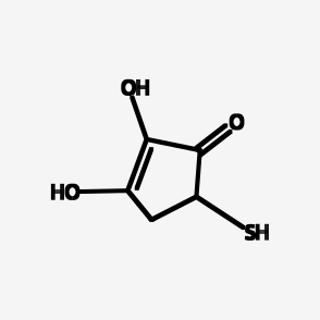 O=C1C(O)=C(O)CC1S